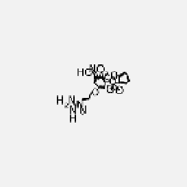 C=NN(CCCOc1cc(C)cc(OS(=O)(=O)c2ccccc2OC)c1)C(=N)N.O=[N+]([O-])O